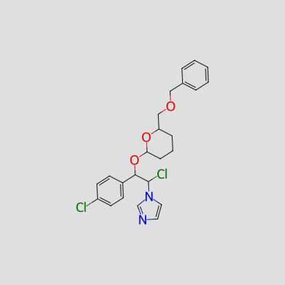 Clc1ccc(C(OC2CCCC(COCc3ccccc3)O2)C(Cl)n2ccnc2)cc1